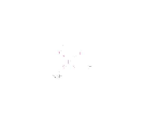 O=P(O)(OF)OF.[NaH]